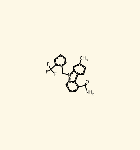 Cc1c[c]c2c3c(C(N)=O)cccc3n(Cc3ccccc3C(F)(F)F)c2c1